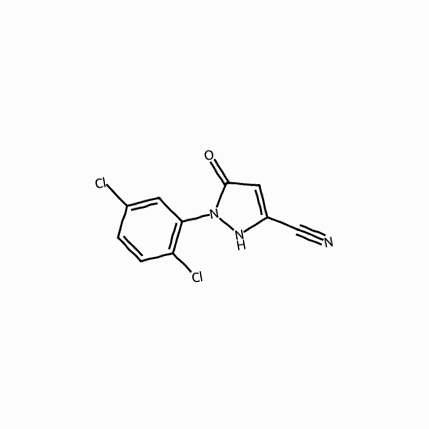 N#Cc1cc(=O)n(-c2cc(Cl)ccc2Cl)[nH]1